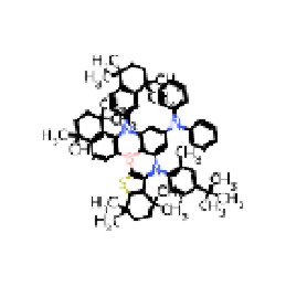 Cc1cc(C(C)(C)C)ccc1N1c2cc(N(c3ccccc3)c3ccccc3)cc3c2B(c2ccc4c(c2N3c2ccc3c(c2)C(C)(C)CCC3(C)C)C(C)(C)CCC4(C)C)c2sc3c(c21)C(C)(C)CCC3(C)C